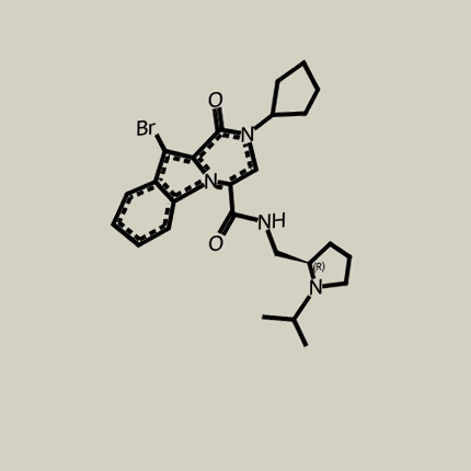 CC(C)N1CCC[C@@H]1CNC(=O)c1cn(C2CCCC2)c(=O)c2c(Br)c3ccccc3n12